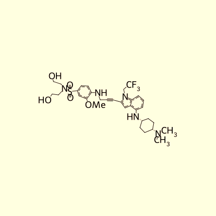 COc1cc(S(=O)(=O)N(CCO)CCO)ccc1NCC#Cc1cc2c(N[C@H]3CC[C@@H](N(C)C)CC3)cccc2n1CC(F)(F)F